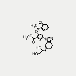 COC(=O)c1sc(-n2cnc3c2C=C(CC(O)CO)CC3)cc1O[C@H](C)c1ccccc1Cl